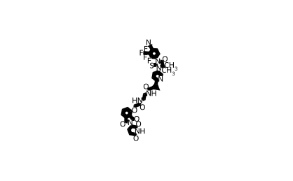 CC1(C)C(=O)N(c2ccc(C#N)c(C(F)(F)F)c2F)C(=S)N1c1ccc(C2CC2C(=O)NCCNC(=O)COc2cccc3c2C(=O)N(C2CCC(=O)NC2=O)C3=O)nc1